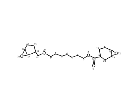 O=C(OCCCCCCCOCC1CCC2OC12)C1CCC2OC2C1